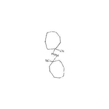 N#CC1(/N=N/C2(C#N)CCCCCCC2)CCCCCCC1